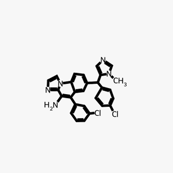 Cn1cncc1C(c1ccc(Cl)cc1)c1ccc2c(c1)c(-c1cccc(Cl)c1)c(N)c1nccn12